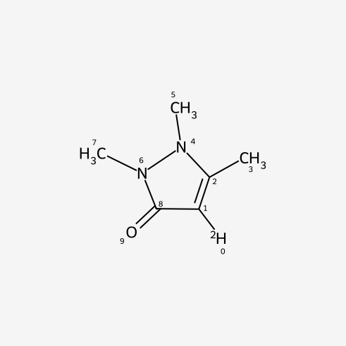 [2H]c1c(C)n(C)n(C)c1=O